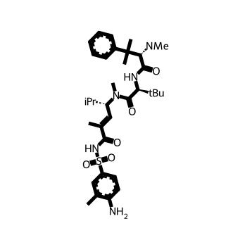 CN[C@H](C(=O)N[C@H](C(=O)N(C)[C@H](/C=C(\C)C(=O)NS(=O)(=O)c1ccc(N)c(C)c1)C(C)C)C(C)(C)C)C(C)(C)c1ccccc1